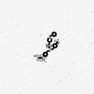 CC(C)(Oc1ccc(CCN(Cc2ccc(C(F)(F)F)cc2)c2noc(C3CCN(Cc4ccccc4)CC3)n2)cc1)C(=O)O